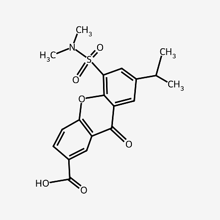 CC(C)c1cc(S(=O)(=O)N(C)C)c2oc3ccc(C(=O)O)cc3c(=O)c2c1